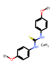 CCOc1ccc(NC(=S)Nc2ccc(OCC)cc2)cc1.[CaH2]